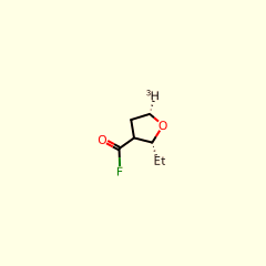 [3H][C@H]1CC(C(=O)F)[C@@H](CC)O1